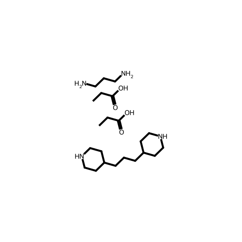 C(CC1CCNCC1)CC1CCNCC1.CCC(=O)O.CCC(=O)O.NCCCN